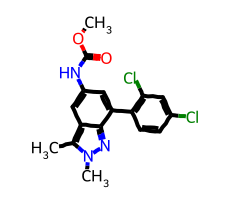 COC(=O)Nc1cc(-c2ccc(Cl)cc2Cl)c2nn(C)c(C)c2c1